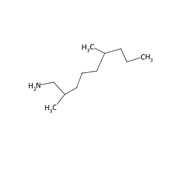 CCCC(C)CCCC(C)CN